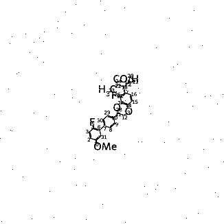 COc1ccc(F)c(-c2ccc(C3COc4ccc([C@H](C5CC5)[C@H](C)C(=O)O)c(F)c4O3)cc2)c1